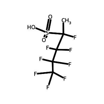 CC(F)(C(F)(F)C(F)(F)C(F)(F)F)S(=O)(=O)O